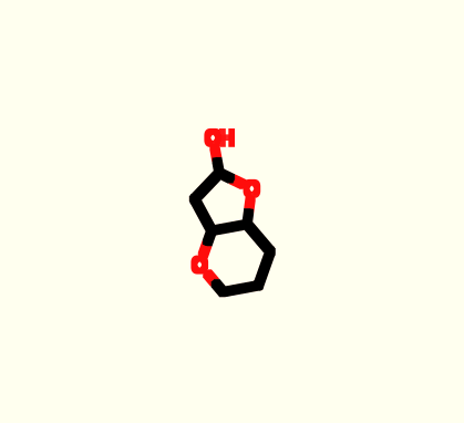 OC1CC2OCCCC2O1